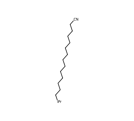 CC(C)CCCCCCCCCCCCCC#N